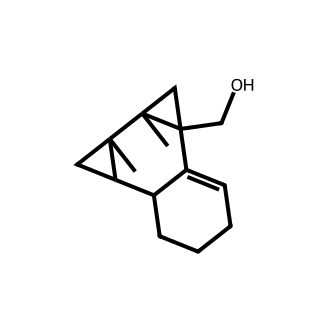 CC12CC1C1CCCC=C1C1(CO)CC12C